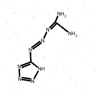 NC(N)=N/N=N/c1nnn[nH]1